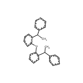 CC(c1ccccc1)c1ccccc1Oc1ccccc1C(C)c1ccccc1